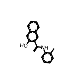 C=C(Nc1ccccc1C)c1cc2ccccc2cc1O